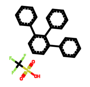 O=S(=O)(O)C(F)(F)F.c1ccc(-c2cccc(-c3ccccc3)c2-c2ccccc2)cc1